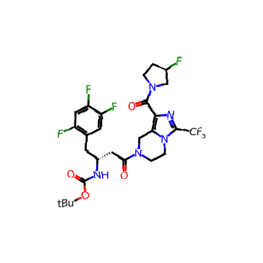 CC(C)(C)OC(=O)N[C@@H](CC(=O)N1CCn2c(C(F)(F)F)nc(C(=O)N3CCC(F)C3)c2C1)Cc1cc(F)c(F)cc1F